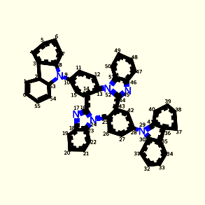 C1=CC2c3ccccc3N(c3ccc4c(c3)c3nc5ccccc5n3c3ccc(-n5c6ccccc6c6ccccc65)cc3c3nc5ccccc5n43)C2C=C1